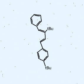 CC(C)(C)C(C=Cc1ccc(C(C)(C)C)cc1)=Cc1ccccc1